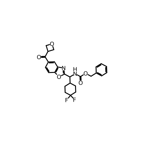 O=C(NC(c1nc2cc(C(=O)C3COC3)ccc2o1)C1CCC(F)(F)CC1)OCc1ccccc1